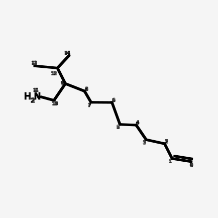 C=CCCCCCCCC(CN)C(C)C